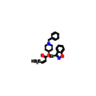 CCc1noc2ccccc12.O=C(O)/C=C\C(=O)OC1CCN(Cc2ccccc2)CC1